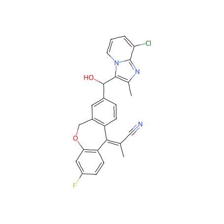 CC(C#N)=C1c2ccc(C(O)c3c(C)nc4c(Cl)cccn34)cc2COc2cc(F)ccc21